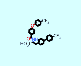 O=C(N[C@@H](Cc1ccc(-c2ccc(C(F)(F)F)cc2)cc1)C(=O)O)c1ccc(Oc2ccc(C(F)(F)F)cc2)cc1